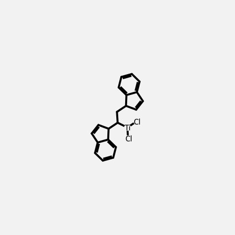 [Cl][Ti]([Cl])[CH](CC1C=Cc2ccccc21)C1C=Cc2ccccc21